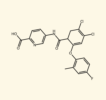 Cc1cc(F)ccc1OC1=CC(Cl)=C(Cl)CC1C(=O)Nc1ccc(C(=O)O)nc1